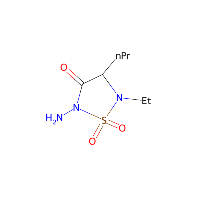 CCCC1C(=O)N(N)S(=O)(=O)N1CC